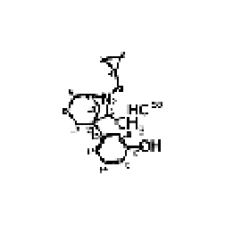 CC1N(CC2CC2)C2CCCC1(c1cccc(O)c1)C2.Cl